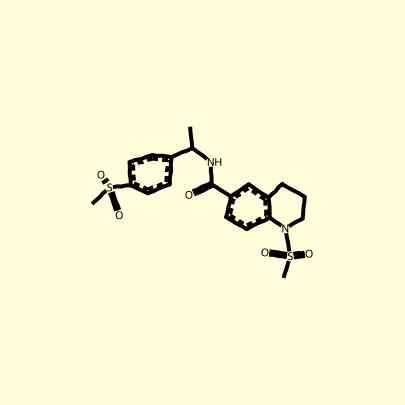 CC(NC(=O)c1ccc2c(c1)CCCN2S(C)(=O)=O)c1ccc(S(C)(=O)=O)cc1